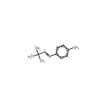 Cc1ccc(N=NC(C)(C)C)cc1